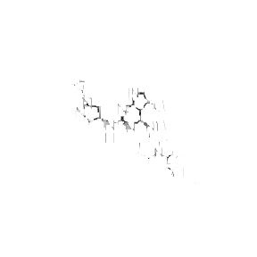 C=CC(=O)N1CCCC(Nc2nc(Nc3cnn(C4CC4)c3)nc3[nH]cc(Cl)c23)C1